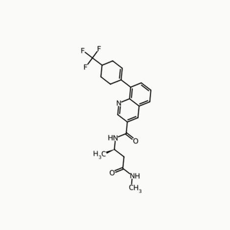 CNC(=O)C[C@@H](C)NC(=O)c1cnc2c(C3=CCC(C(F)(F)F)CC3)cccc2c1